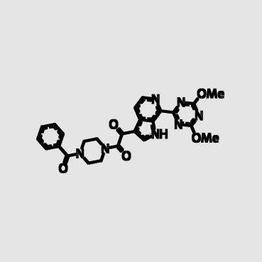 COc1nc(OC)nc(-c2nccc3c(C(=O)C(=O)N4CCN(C(=O)c5ccccc5)CC4)c[nH]c23)n1